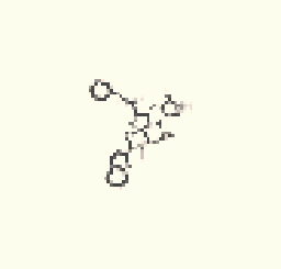 CC(C)C[C@H](NC(=O)c1ccc2ccccc2n1)C(=O)N[C@@H](C[C@@H]1CCNC1=O)C(=O)C(=O)NCc1ccccc1